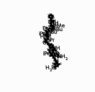 BSC1CC(=C)N(CCCCCC(=C)NC(C(=C)N[C@@H](CCCNC(N)=O)C(=C)Nc2ccc(CCC(=O)N(C)C(C(=C)N[C@H](C(=O)N(C)C(C(C)CC)C(CC)CC(=C)N(CCCC)C(OC)C(C)C(=C)NC(C)C(C)c3ccccc3)C(C)C)C(C)C)cc2)C(C)C)C1=C